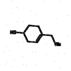 CC(C)(C)CC1=CCC(O)CC1